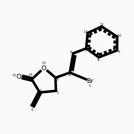 C=C1CC(/C(Br)=C/c2ccccc2)OC1=O